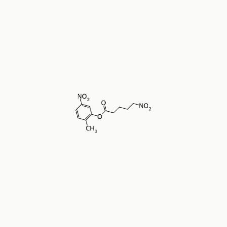 Cc1ccc([N+](=O)[O-])cc1OC(=O)CCCC[N+](=O)[O-]